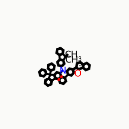 CC1(C)c2ccccc2-c2ccc(N(c3ccc4c(c3)C(c3ccccc3)(c3ccccc3)c3ccccc3-4)c3cc4c(cc3-c3ccccc3)oc3c5ccccc5ccc43)cc21